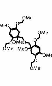 COCOC1=CC(OC)=C(OCOC)CC1(COCC1(OC)CC(OCOC)=C(OC)C=C1OCOC)OC